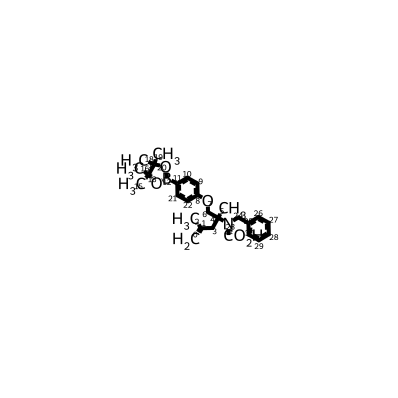 C=C(C)CC(C)(COc1ccc(B2OC(C)(C)C(C)(C)O2)cc1)N(Cc1ccccc1)C(=O)O